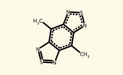 Cc1c2c(c(C)c3nsnc13)N=S=N2